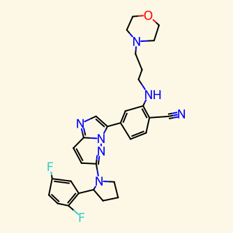 N#Cc1ccc(-c2cnc3ccc(N4CCCC4c4cc(F)ccc4F)nn23)cc1NCCCN1CCOCC1